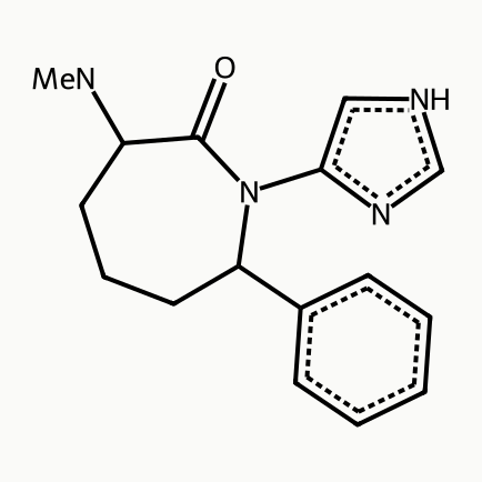 CNC1CCCC(c2ccccc2)N(c2c[nH]cn2)C1=O